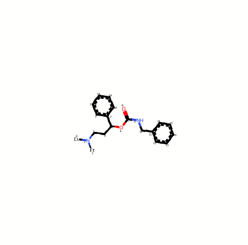 CCN(CC)CCC(OC(=O)NCc1ccccc1)c1ccccc1